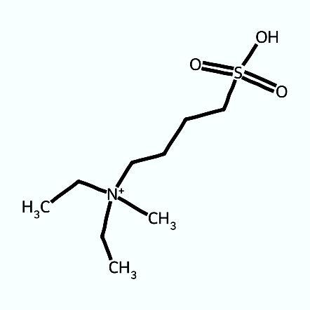 CC[N+](C)(CC)CCCCS(=O)(=O)O